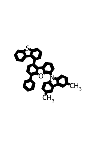 Cc1ccc2c(c1)c1cc(C)ccc1n2-c1cccc2c1oc1c(-c3ccccc3)ccc(-c3cccc4sc5ccccc5c34)c12